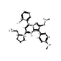 COCc1nn2c(-c3ccccc3F)cc(N3CCCC3CO)nc2c1-c1ccc(OC)cc1